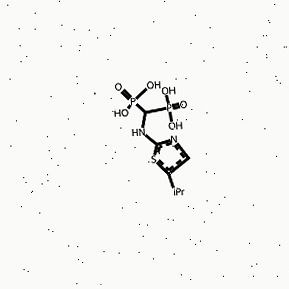 CC(C)c1cnc(NC(P(=O)(O)O)P(=O)(O)O)s1